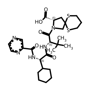 CC(C)(C)[C@H](NC(=O)[C@@H](NC(=O)c1cnccn1)C1CCCCC1)C(=O)N1CC2(C[C@H]1C(=O)O)SCCCS2